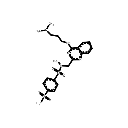 CN(C)CCCNc1nc(CN(C)S(=O)(=O)c2ccc(S(C)(=O)=O)cc2)nc2ccccc12